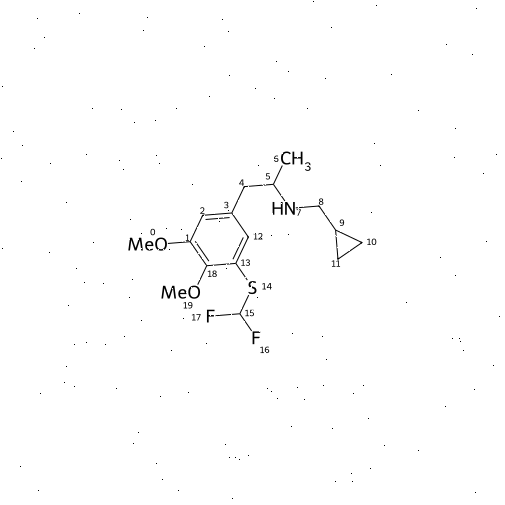 COc1cc(CC(C)NCC2CC2)cc(SC(F)F)c1OC